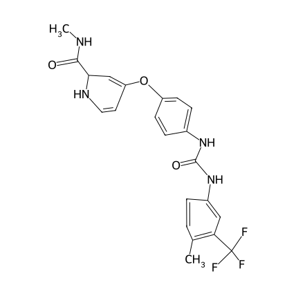 CNC(=O)C1C=C(Oc2ccc(NC(=O)Nc3ccc(C)c(C(F)(F)F)c3)cc2)C=CN1